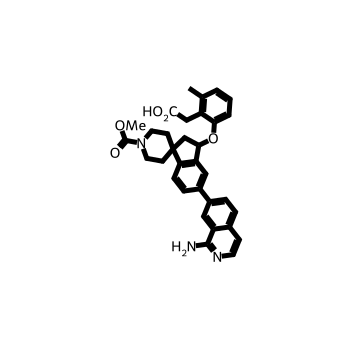 COC(=O)N1CCC2(CC1)CC(Oc1cccc(C)c1CC(=O)O)c1cc(-c3ccc4ccnc(N)c4c3)ccc12